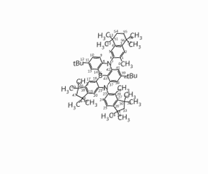 Cc1cc2c(cc1N1c3ccc(C(C)(C)C)cc3B3c4cc5c(cc4N(c4ccc6c(c4C)C(C)(C)CC6(C)C)c4cc(C(C)(C)C)cc1c43)C(C)(C)CC5(C)C)C(C)(C)CCC2(C)C